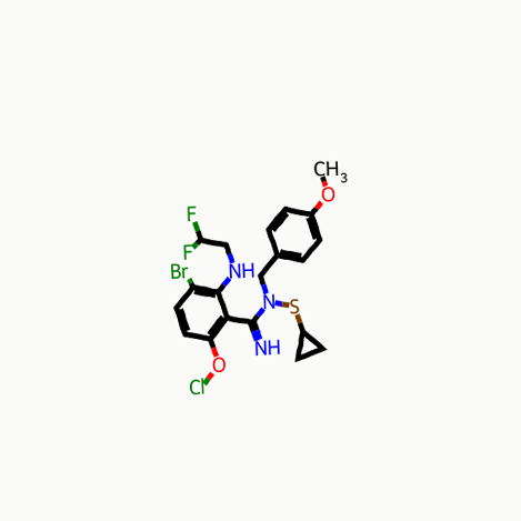 COc1ccc(CN(SC2CC2)C(=N)c2c(OCl)ccc(Br)c2NCC(F)F)cc1